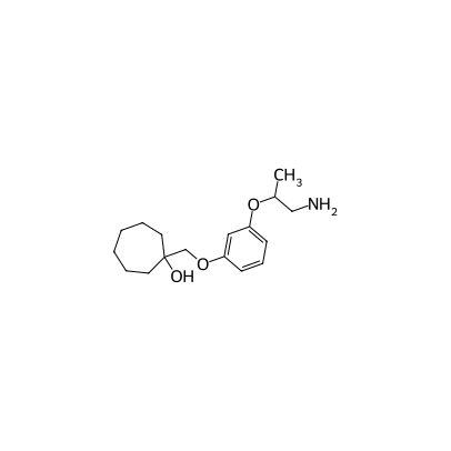 CC(CN)Oc1cccc(OCC2(O)CCCCCC2)c1